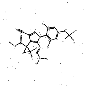 COC(=O)C1(c2c(C#N)nn(-c3c(Cl)cc(OC(F)(F)F)cc3Cl)c2N=CN(C)C)CC1(F)F